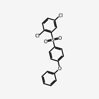 O=S(=O)(c1ccc(Oc2ccccc2)cc1)c1cc(Cl)ccc1Cl